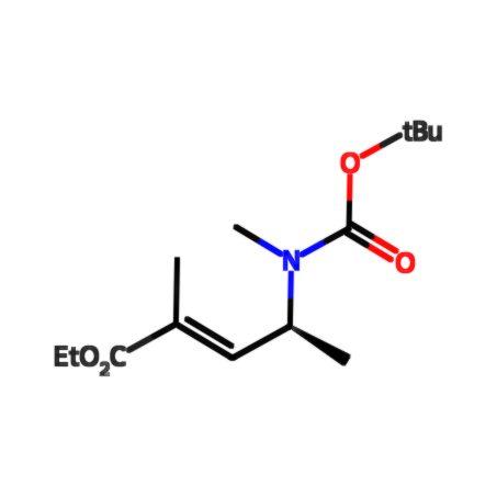 CCOC(=O)/C(C)=C/[C@H](C)N(C)C(=O)OC(C)(C)C